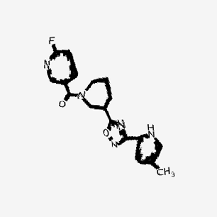 Cc1c[nH]c(-c2noc(C3CCCN(C(=O)c4ccc(F)nc4)C3)n2)c1